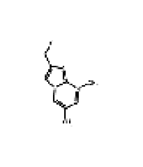 Cc1cn2cc(CCl)nc2[n+](C)c1